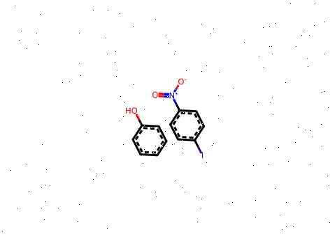 O=[N+]([O-])c1ccc(I)cc1.Oc1ccccc1